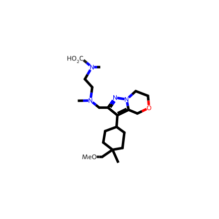 COCC1(C)CCC(c2c(CN(C)CCN(C)C(=O)O)nn3c2COCC3)CC1